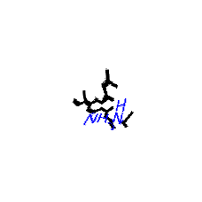 C=C/C(C)=C(\C=C(\N)CC(C)CC(=C)NC(C)C)C/C=C(/C)CC(C)C